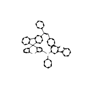 C(=C(\c1ccccc1)c1ccc2c(c1)-c1ccccc1C21c2ccccc2Sc2cc(N(c3ccccc3)c3ccc4oc5ccccc5c4c3)ccc21)/c1ccccc1